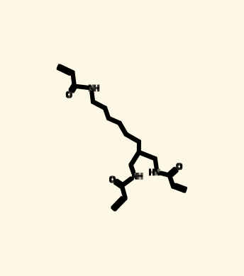 C=CC(=O)NCCCCCCC(CNC(=O)C=C)CNC(=O)C=C